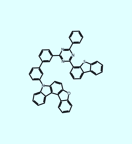 c1ccc(-c2nc(-c3cccc(-c4cccc(-n5c6ccccc6c6c7c(ccc65)oc5ccccc57)c4)c3)nc(-c3cccc4c3sc3ccccc34)n2)cc1